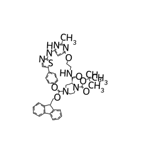 Cc1nc(Nc2ncc(-c3ccccc3)s2)cc(OCCNC(=O)[C@@H]2CN(C(=O)OCC3c4ccccc4-c4ccccc43)CCN2C(=O)OC(C)(C)C)n1